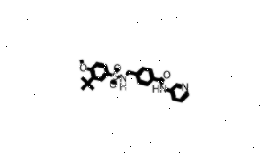 COc1ccc(S(=O)(=O)NCc2ccc(C(=O)Nc3cccnc3)cc2)cc1C(C)(C)C